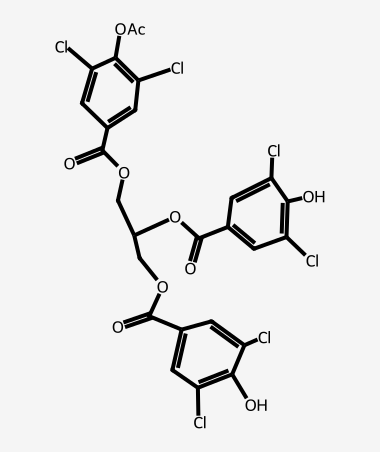 CC(=O)Oc1c(Cl)cc(C(=O)OCC(COC(=O)c2cc(Cl)c(O)c(Cl)c2)OC(=O)c2cc(Cl)c(O)c(Cl)c2)cc1Cl